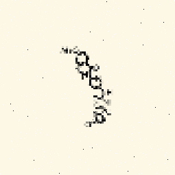 COc1ccc2c(=O)n(-c3ccc(NC(=O)NS(=O)(=O)c4ccc(Cl)s4)cn3)c(C)nc2c1